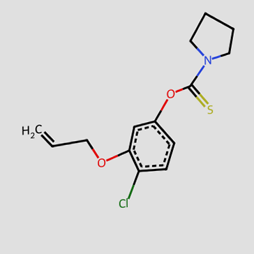 C=CCOc1cc(OC(=S)N2CCCC2)ccc1Cl